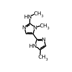 CNc1ncc(-c2ncc(C)[nH]2)n1C